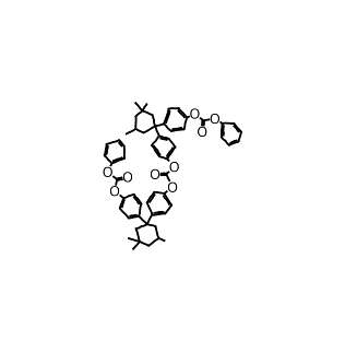 CC1CC(C)(C)CC(c2ccc(OC(=O)Oc3ccccc3)cc2)(c2ccc(OC(=O)Oc3ccc(C4(c5ccc(OC(=O)Oc6ccccc6)cc5)CC(C)CC(C)(C)C4)cc3)cc2)C1